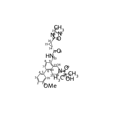 COc1cccc(-c2ccc(CNC(=O)[C@@H]3C[C@H]3c3nc(C)no3)c3c2CCN(C(=O)C(C)(C)O)C3)c1